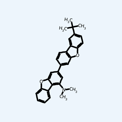 CN(C)c1cc(-c2ccc3c(c2)oc2ccc(C(C)(C)C)cc23)cc2oc3ccccc3c12